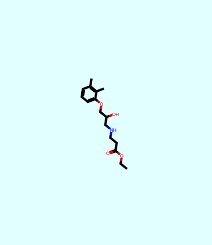 CCOC(=O)CCNCC(O)COc1cccc(C)c1C